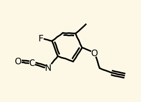 C#CCOc1cc(N=C=O)c(F)cc1C